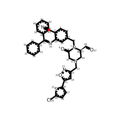 N#Cc1ccc(CN2C(=O)CN(Cc3cc(-c4ccc(Cl)s4)on3)C[C@@H]2C=O)cc1N=C(c1ccccc1)c1ccccc1